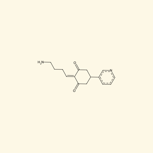 NCCCC=C1C(=O)CC(c2cccnc2)CC1=O